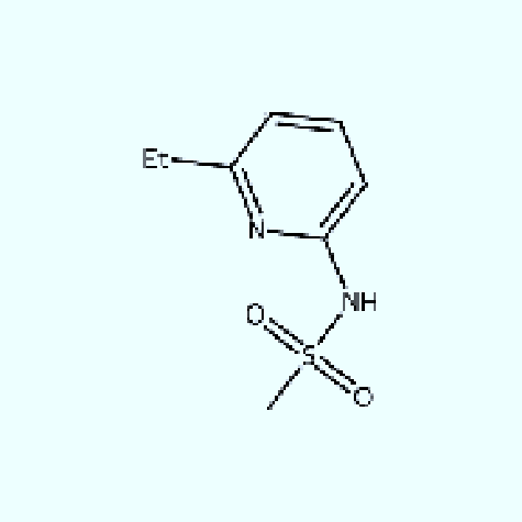 CCc1[c]ccc(NS(C)(=O)=O)n1